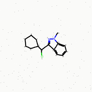 Cn1nc(C(Cl)C2CCCCC2)c2ccccc21